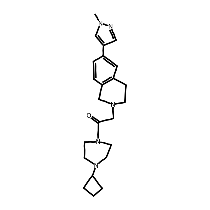 Cn1cc(-c2ccc3c(c2)CCN(CC(=O)N2CCN(C4CCC4)CC2)C3)cn1